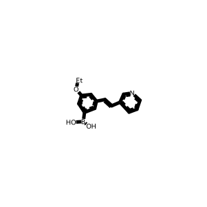 CCOc1cc(/C=C/c2cccnc2)cc(B(O)O)c1